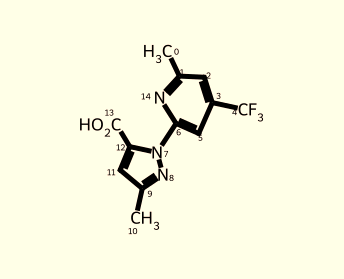 Cc1cc(C(F)(F)F)cc(-n2nc(C)cc2C(=O)O)n1